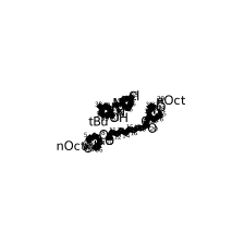 CCCCCCCCON1C(C)(C)CC(OC(=O)CCCCCCCCC(=O)OC2CC(C)(C)N(OCCCCCCCC)C(C)(C)C2)CC1(C)C.Cc1cc(-n2nc3ccc(Cl)cc3n2)c(O)c(C(C)(C)C)c1